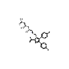 C=C(C)c1nc(-c2ccc(F)cc2)c(-c2ccc(F)cc2)n1C/C=C/C(O)CC(O)CC(=O)O